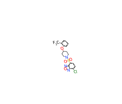 O=S(=O)(c1ccc(Cl)c2nonc12)N1CCC(Oc2ccccc2C(F)(F)F)CC1